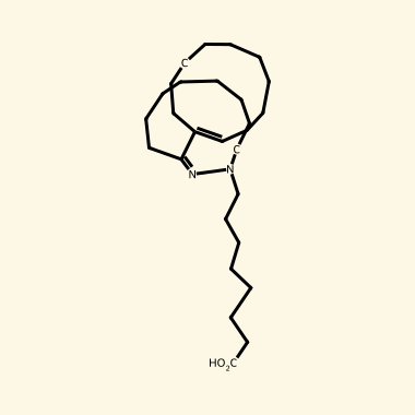 O=C(O)CCCCCCCN1CCCCCCCCC(/C2=C/CCCCCCCCC2)=N/1